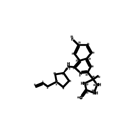 C=CCN1CC[C@H](Nc2nc(C3(C)NNC(=O)N3)cc3ccc(F)cc23)C1